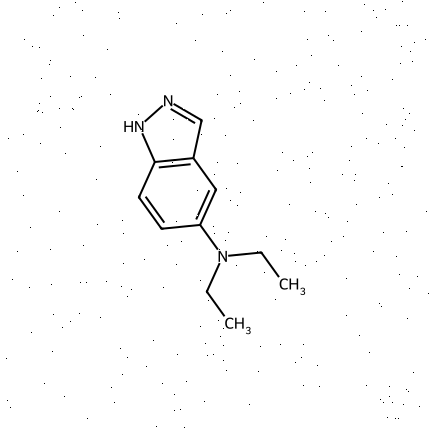 CCN(CC)c1ccc2[nH]ncc2c1